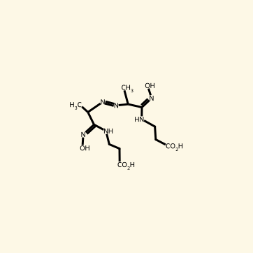 CC(N=NC(C)C(=NO)NCCC(=O)O)C(=NO)NCCC(=O)O